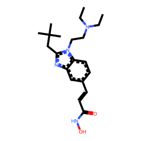 CCN(CC)CCn1c(CC(C)(C)C)nc2cc(C=CC(=O)NO)ccc21